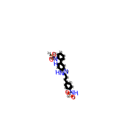 CS(=O)(=O)Nc1ccc(CCc2nc3cc(-c4ccccc4NS(C)(=O)=O)ccc3[nH]2)cc1